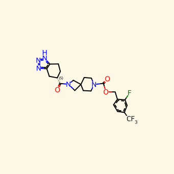 O=C(OCc1ccc(C(F)(F)F)cc1F)N1CCC2(CC1)CN(C(=O)[C@H]1CCc3[nH]nnc3C1)C2